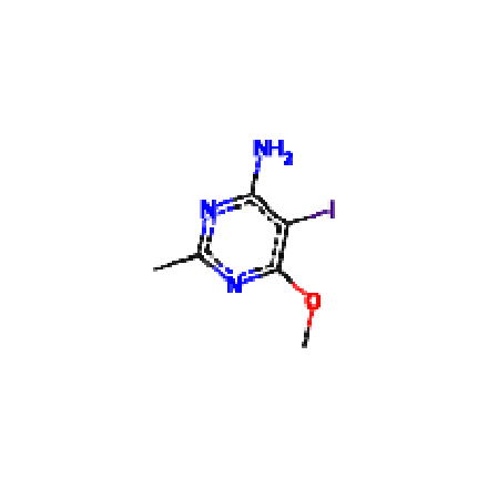 COc1nc(C)nc(N)c1I